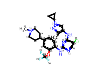 Cc1nn(C2CC2)cc1Nc1nc(Nc2ccc(C3CCN(C)CC3)cc2OC(F)(F)F)ncc1Cl